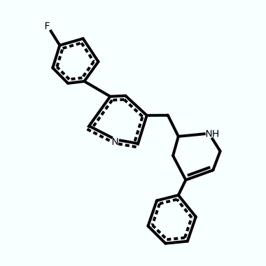 Fc1ccc(-c2cncc(CC3CC(c4ccccc4)=CCN3)c2)cc1